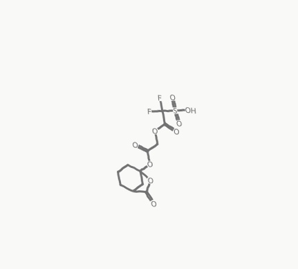 O=C(COC(=O)C(F)(F)S(=O)(=O)O)OC12CCCC(C1)C(=O)O2